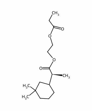 CCC(=O)OCCOC(=O)[C@@H](C)C1CCCC(C)(C)C1